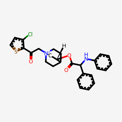 O=C(C[N+]12CCC(CC1)[C@@H](OC(=O)C(Nc1ccccc1)c1ccccc1)C2)c1sccc1Cl